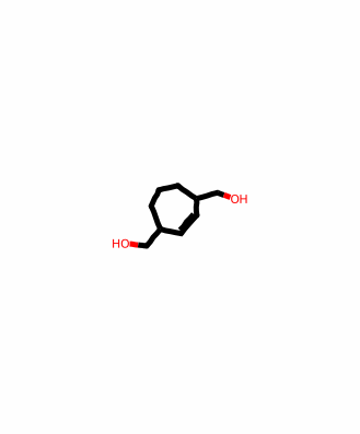 OCC1C=CC(CO)CCC1